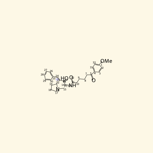 COc1ccc(C(=O)CCCCC(=O)N[C@H](CN2CCCC2)[C@H](O)/C=C/c2ccccc2)cc1